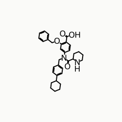 O=C(O)c1ccc(N(Cc2ccc(C3CCCCC3)cc2)C(=O)C2CCCCN2)cc1OCc1ccccc1